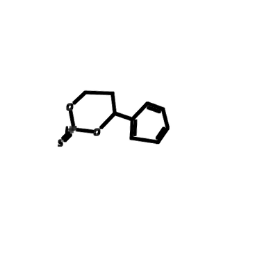 S=[PH]1OCCC(c2ccccc2)O1